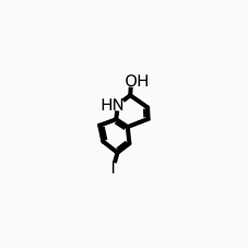 OC1C=Cc2cc(I)ccc2N1